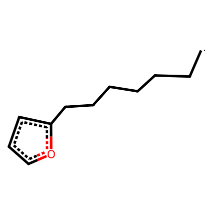 [CH2]CCCCCCc1ccco1